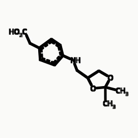 CC1(C)OCC(CNc2ccc(CC(=O)O)cc2)O1